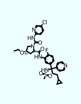 CCO[C@@H]1C[C@H](C(=O)Nc2cc(C(CCC3CC3)(NS(C)(=O)=O)c3ccncc3)ccc2F)N(C(=O)Nc2ccc(Cl)cn2)C1